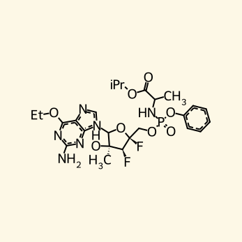 CCOc1nc(N)nc2c1ncn2C1O[C@](F)(COP(=O)(NC(C)C(=O)OC(C)C)Oc2ccccc2)[C@@H](F)[C@@]1(C)O